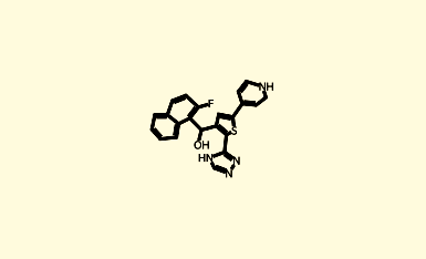 OC(c1cc(C2=CCNC=C2)sc1-c1nnc[nH]1)c1c(F)ccc2ccccc12